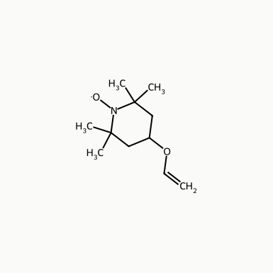 C=COC1CC(C)(C)N([O])C(C)(C)C1